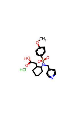 COc1ccc(S(=O)(=O)N(Cc2ccncc2)C2CCCCC2CC(=O)O)cc1.Cl